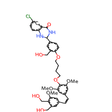 COc1cc(/C=C\c2cc(OC)c(OCCCCOc3ccc(C4NC(=O)c5cc(Cl)ccc5N4)cc3CO)c(OC)c2)cc(CO)c1CO